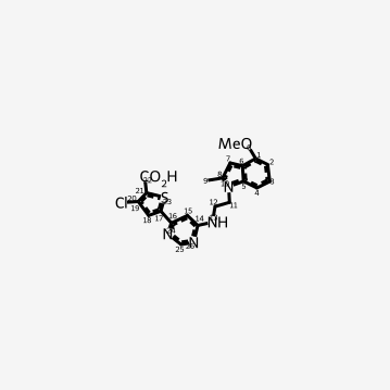 COc1cccc2c1cc(C)n2CCNc1cc(-c2cc(Cl)c(C(=O)O)s2)ncn1